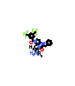 CC(C)(CN)NC(=O)C(Cc1ccccc1)NC1CCN(C(=O)c2cc(C(F)(F)F)cc(C(F)(F)F)c2)CC1